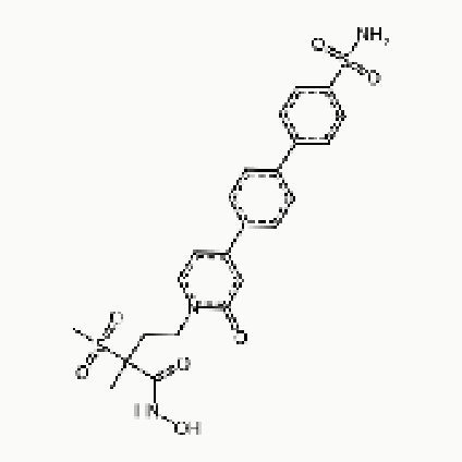 CC(CCn1ccc(-c2ccc(-c3ccc(S(N)(=O)=O)cc3)cc2)cc1=O)(C(=O)NO)S(C)(=O)=O